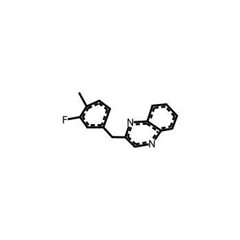 Cc1ccc(Cc2cnc3ccccc3n2)cc1F